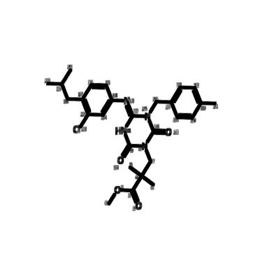 COC(=O)C(C)(C)Cn1c(=O)[nH]/c(=N\c2ccc(CC(C)C)c(Cl)c2)n(Cc2ccc(C)cc2)c1=O